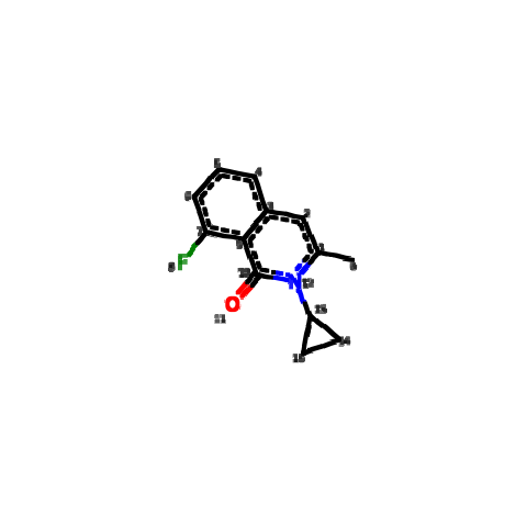 Cc1cc2cccc(F)c2c(=O)n1C1CC1